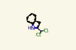 Cl[C](Cl)c1cc2ccccc2[nH]1